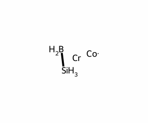 B[SiH3].[Co].[Cr]